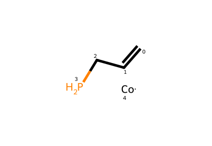 C=CCP.[Co]